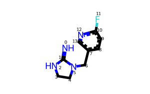 N=C1NCCN1Cc1ccc(F)nc1